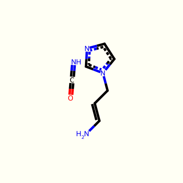 N=C=O.NC=CCn1ccnc1